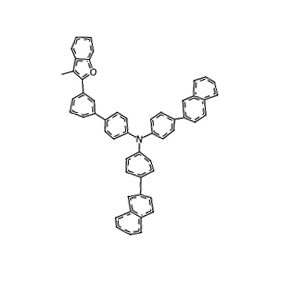 Cc1c(-c2cccc(-c3ccc(N(c4ccc(-c5ccc6ccccc6c5)cc4)c4ccc(-c5ccc6ccccc6c5)cc4)cc3)c2)oc2ccccc12